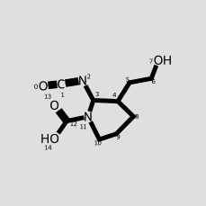 O=C=NC1C(CCO)CCCN1C(=O)O